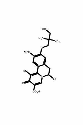 CCc1c2n(cc(C(=O)O)c1=O)C(CC)Cc1cc(OCC(C)(C)CO)c(OC)cc1-2